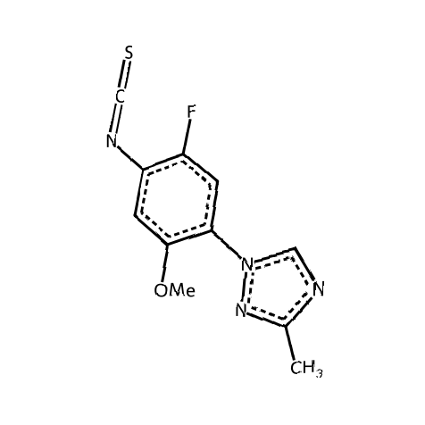 COc1cc(N=C=S)c(F)cc1-n1cnc(C)n1